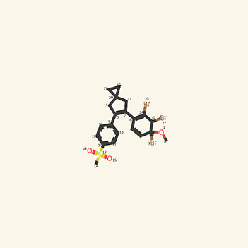 COC1(Br)C=CC(C2=C(c3ccc(S(C)(=O)=O)cc3)CC3(CC3)C2)=C(Br)C1Br